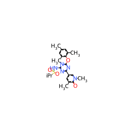 Cc1cc(C)c(Oc2nc(NS(=O)(=O)C(C)C)nc(-c3cc(C)c(=O)n(C)c3)n2)c(C)c1